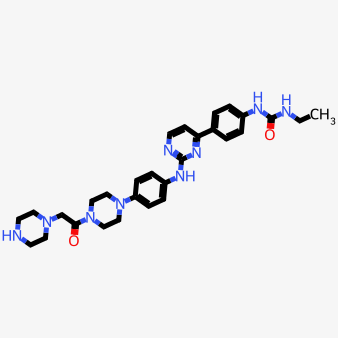 CCNC(=O)Nc1ccc(-c2ccnc(Nc3ccc(N4CCN(C(=O)CN5CCNCC5)CC4)cc3)n2)cc1